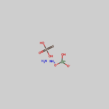 N.N.O=S(O)(O)=S.[O-][Cl+2]([O-])O